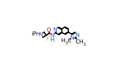 Cc1ncc(-c2ccc3cnc(NC(=O)C4(F)CN(C(C)C)C4)cc3c2)n1C